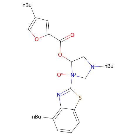 CCCCc1coc(C(=O)OC2CN(CCCC)C[N+]2([O-])c2nc3c(CCCC)cccc3s2)c1